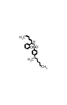 C/C=C\C=C\C(NS(=O)(=O)c1ccc(N(C)CCCCC)cc1)c1ccccc1